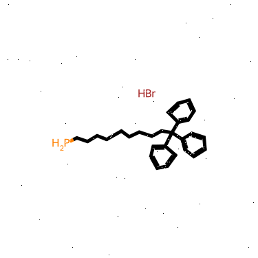 Br.PCCCCCCCCCC(c1ccccc1)(c1ccccc1)c1ccccc1